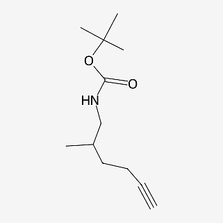 C#CCCC(C)CNC(=O)OC(C)(C)C